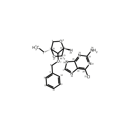 CC[C@]12CO[C@@H](C1OCc1ccccc1)[C@H](n1cnc3c(Cl)nc(N)nc31)O2